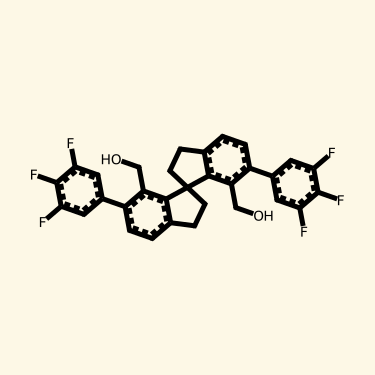 OCc1c(-c2cc(F)c(F)c(F)c2)ccc2c1C1(CC2)CCc2ccc(-c3cc(F)c(F)c(F)c3)c(CO)c21